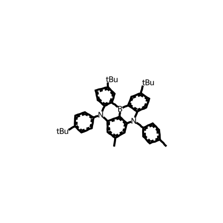 Cc1ccc(N2c3ccc(C(C)(C)C)cc3B3c4cc(C(C)(C)C)ccc4N(c4ccc(C(C)(C)C)cc4)c4cc(C)cc2c43)cc1